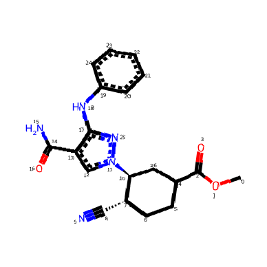 COC(=O)C1CC[C@H](C#N)[C@@H](n2cc(C(N)=O)c(Nc3ccccc3)n2)C1